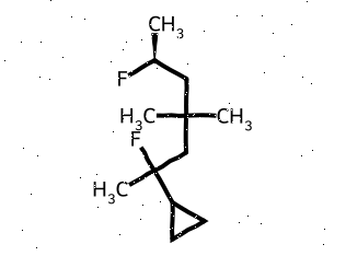 C[C@H](F)CC(C)(C)CC(C)(F)C1CC1